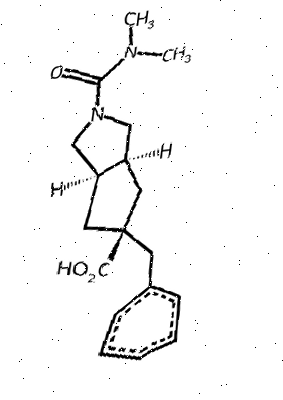 CN(C)C(=O)N1C[C@@H]2C[C@](Cc3ccccc3)(C(=O)O)C[C@@H]2C1